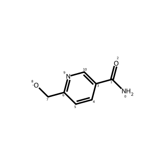 NC(=O)c1ccc(C[O])nc1